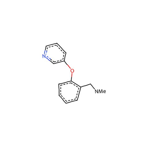 CNCc1ccccc1Oc1cccnc1